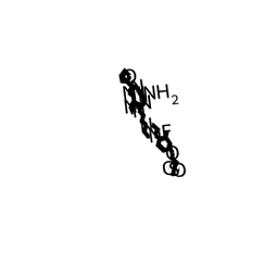 CS(=O)(=O)CCOc1ccc(N2CCN(CCn3cnc4c3nc(N)n3nc(-c5ccco5)nc43)CC2)c(F)c1